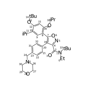 CCN(C(=O)c1noc(-c2cc(C(C)C)c(OC(C)(C)C)cc2OC(C)C)c1-c1ccc(CN2CCOCC2)cc1)C(C)(C)C